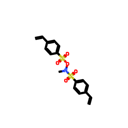 C=Cc1ccc(S(=O)(=O)ON(C)S(=O)(=O)c2ccc(C=C)cc2)cc1